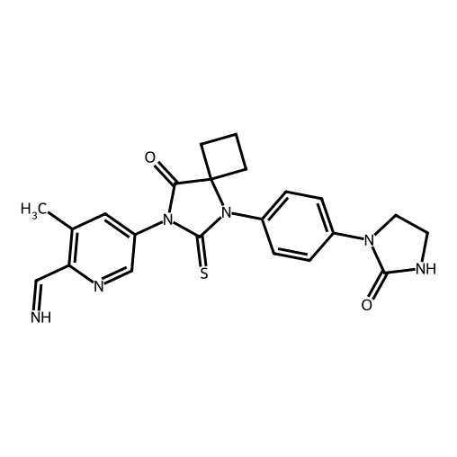 Cc1cc(N2C(=O)C3(CCC3)N(c3ccc(N4CCNC4=O)cc3)C2=S)cnc1C=N